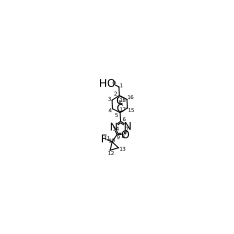 OCC12CCC(c3noc(C4(F)CC4)n3)(CC1)CC2